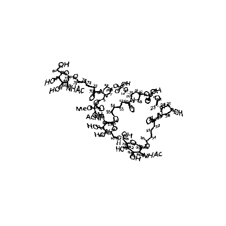 COP(=O)(O)OC[C@@H]1C[C@@H](OP(=O)(O)OC[C@@H]2C[C@@H](OP(=O)(O)OC[C@@H]3C[C@@H](O)CN3C(=O)CCCCO[C@@H]3OC(CO)[C@H](O)C(O)C3NC(C)=O)CN2C(=O)CCCCO[C@@H]2OC(CO)[C@H](O)C(O)C2NC(C)=O)CN1C(=O)CCCCO[C@@H]1OC(CO)[C@H](O)C(O)C1NC(C)=O